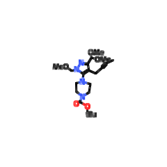 CC#CCc1c(C(OC)OC)nn(COC)c1N1CCN(C(=O)OC(C)(C)C)CC1